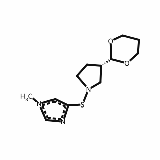 Cn1cnc(SN2CC[C@H](C3OCCCO3)C2)c1